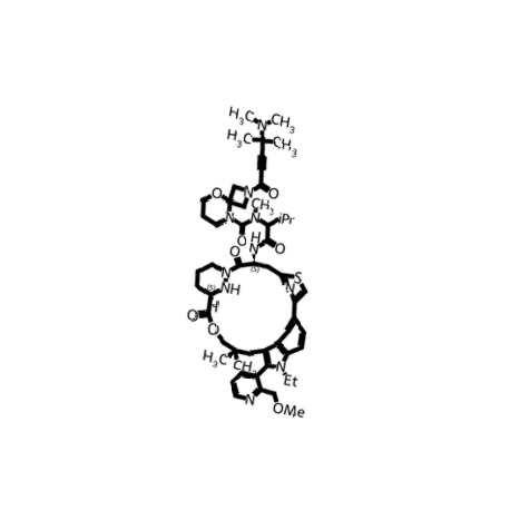 CCn1c(-c2cccnc2COC)c2c3cc(ccc31)-c1csc(n1)C[C@H](NC(=O)C(C(C)C)N(C)C(=O)N1CCCOC13CN(C(=O)C#CC(C)(C)N(C)C)C3)C(=O)N1CCC[C@H](N1)C(=O)OCC(C)(C)C2